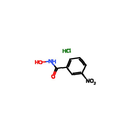 Cl.O=C(NO)c1cccc([N+](=O)[O-])c1